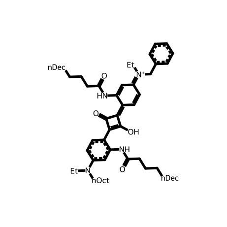 CCCCCCCCCCCCCC(=O)NC1=CC(=[N+](\CC)Cc2ccccc2)/C=CC/1=C1/C(=O)C(c2ccc(N(CC)CCCCCCCC)cc2NC(=O)CCCCCCCCCCCCC)=C1O